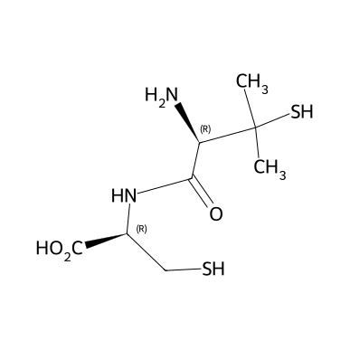 CC(C)(S)[C@H](N)C(=O)N[C@@H](CS)C(=O)O